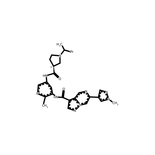 Cc1ncc(NC(=O)[C@H]2CCN(C(C)C(C)C)C2)cc1NC(=O)c1cnn2cc(-c3cnn(C)c3)ncc12